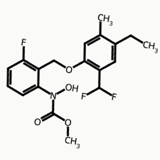 CCc1cc(C(F)F)c(OCc2c(F)cccc2N(O)C(=O)OC)cc1C